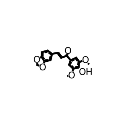 COc1cc(C(=O)C=Cc2ccc3c(c2)OCO3)cc(OC)c1O